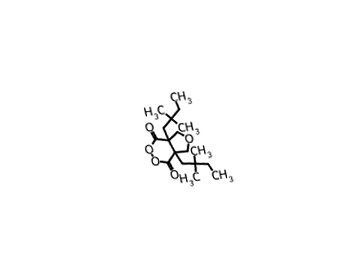 CCC(C)(C)CC12COCC1(CC(C)(C)CC)C(=O)OOC2=O